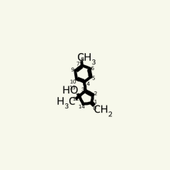 C=C1C=C(c2ccc(C)cc2)C(C)(O)C1